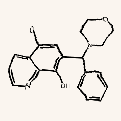 Oc1c(C(c2ccccc2)N2CCOCC2)cc(Cl)c2cccnc12